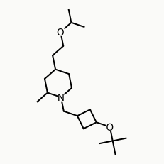 CC(C)OCCC1CCN(CC2CC(OC(C)(C)C)C2)C(C)C1